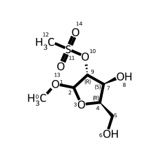 COC1O[C@H](CO)[C@H](O)[C@H]1OS(C)(=O)=O